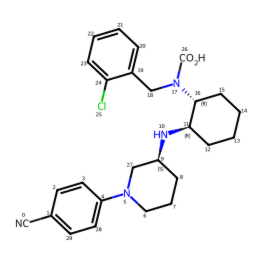 N#Cc1ccc(N2CCC[C@H](N[C@@H]3CCCC[C@H]3N(Cc3ccccc3Cl)C(=O)O)C2)cc1